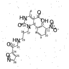 CC1=C(C(=O)O)C(c2cccc([N+](=O)[O-])c2)N(CCCNCC(=O)c2ccno2)C(=O)N1